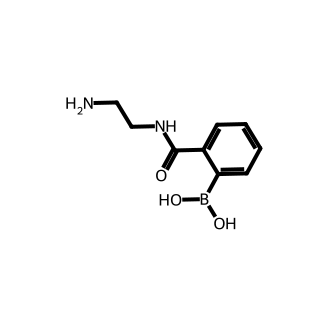 NCCNC(=O)c1ccccc1B(O)O